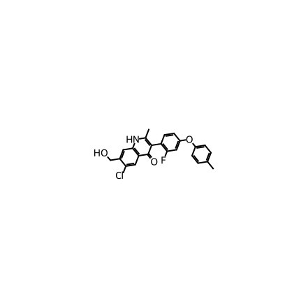 Cc1ccc(Oc2ccc(-c3c(C)[nH]c4cc(CO)c(Cl)cc4c3=O)c(F)c2)cc1